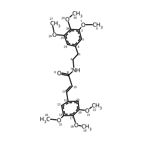 COc1cc([CH]CNC(=O)/C=C/c2cc(OC)c(OC)c(OC)c2)cc(OC)c1OC